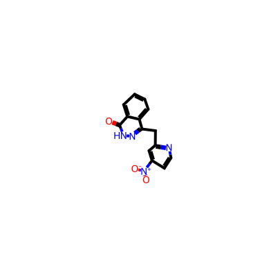 O=c1[nH]nc(Cc2cc([N+](=O)[O-])ccn2)c2ccccc12